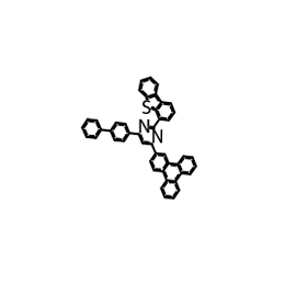 c1ccc(-c2ccc(-c3cc(-c4ccc5c6ccccc6c6ccccc6c5c4)nc(-c4cccc5c4sc4ccccc45)n3)cc2)cc1